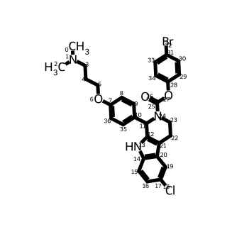 CN(C)CCCOc1ccc(C2c3[nH]c4ccc(Cl)cc4c3CCN2C(=O)Oc2ccc(Br)cc2)cc1